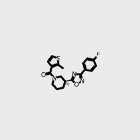 Cc1sccc1C(=O)N1CCC[C@H](c2nc(-c3ccc(F)cc3)no2)C1